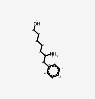 NC(CCCCCO)Cc1ccccc1